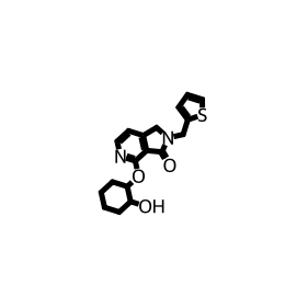 O=C1c2c(ccnc2OC2CCCCC2O)CN1Cc1cccs1